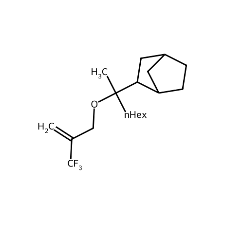 C=C(COC(C)(CCCCCC)C1CC2CCC1C2)C(F)(F)F